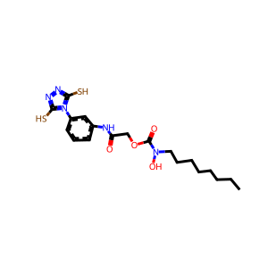 CCCCCCCCN(O)C(=O)OCC(=O)Nc1cccc(-n2c(S)nnc2S)c1